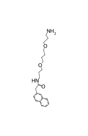 NCCCOCCCCOCCCNC(=O)Cc1ccc2ccccc2c1